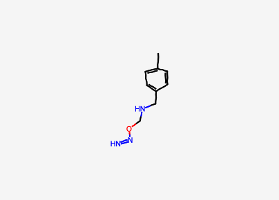 Cc1ccc(CNCON=N)cc1